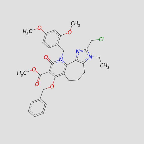 CCn1c(CCl)nc2c1CCCc1c(OCc3ccccc3)c(C(=O)OC)c(=O)n(Cc3ccc(OC)cc3OC)c1-2